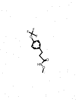 CONC(=O)CCc1ccc(OC(F)(F)F)cc1